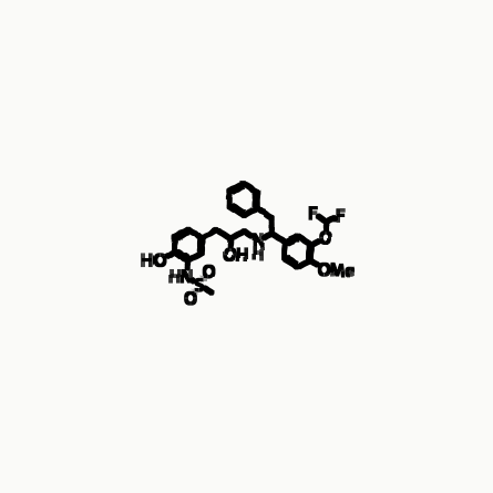 COc1ccc(C(Cc2ccccc2)NCC(O)Cc2ccc(O)c(NS(C)(=O)=O)c2)cc1OC(F)F